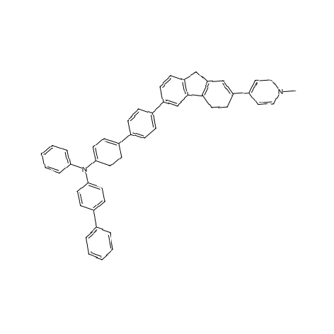 CN1C=CC(C2=CC3=C(CC2)c2cc(-c4ccc(C5=CC=C(N(c6ccccc6)c6ccc(-c7ccccc7)cc6)CC5)cc4)ccc2C3)=CC1